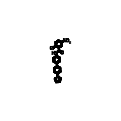 O=C(Nc1ccc(-c2ccc(-n3cccc3)cc2)cc1)c1cc([N+](=O)[O-])ccc1Cl